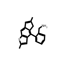 CC1=[C]c2cc3sc(C)cc3c(-c3ccccc3CN)c2C1